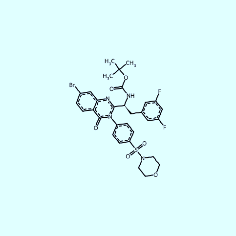 CC(C)(C)OC(=O)N[C@@H](Cc1cc(F)cc(F)c1)c1nc2cc(Br)ccc2c(=O)n1-c1ccc(S(=O)(=O)N2CCOCC2)cc1